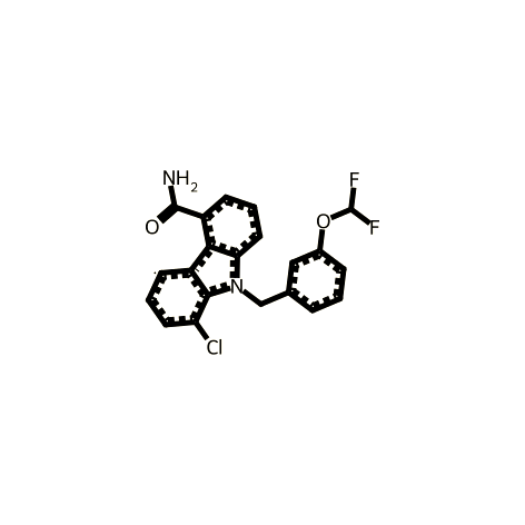 NC(=O)c1cccc2c1c1[c]ccc(Cl)c1n2Cc1cccc(OC(F)F)c1